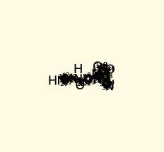 Cn1c(=O)c2nc(-c3ccc(C(=O)NCCN4CCNCC4)cc3)nnc2n(Cc2cccnc2)c1=O